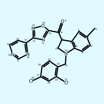 Cc1ccc2c(c1)C(C(=O)c1nc(-c3ccncn3)no1)CN2Cc1ccc(Cl)cc1Cl